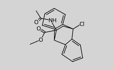 COC(=O)C1(NC(C)=O)CC2(Cl)c3ccccc3C1c1ccccc12